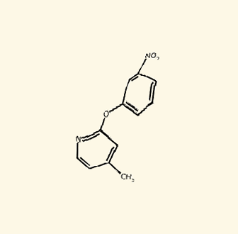 Cc1ccnc(Oc2cccc([N+](=O)[O-])c2)c1